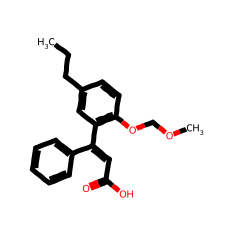 CCCc1ccc(OCOC)c(/C(=C/C(=O)O)c2ccccc2)c1